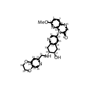 COc1ccc2ncc(=O)n(-c3cnc4c(c3)C[C@@H](O)[C@H](NCc3cc5c(cn3)OCCO5)C4)c2n1